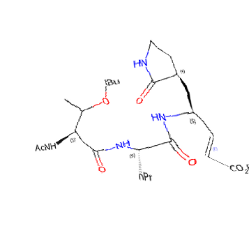 CCC[C@H](NC(=O)[C@@H](NC(C)=O)C(C)OC(C)(C)C)C(=O)N[C@H](/C=C/C(=O)OCC)C[C@@H]1CCNC1=O